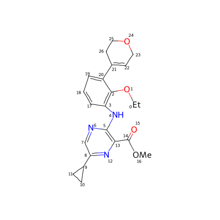 CCOc1c(Nc2ncc(C3CC3)nc2C(=O)OC)cccc1C1=CCOCC1